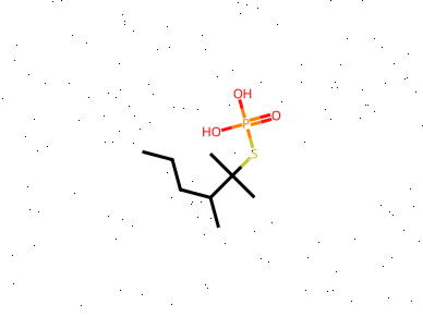 CCCC(C)C(C)(C)SP(=O)(O)O